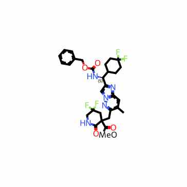 COC(=O)C1(Cc2nn3cc([C@@H](NC(=O)OCc4ccccc4)C4CCC(F)(F)CC4)nc3cc2C)CC(F)(F)CNC1=O